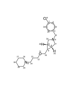 Clc1ccc(CN2C[C@@H]3C(COCCCN4CCCCC4)[C@@H]3C2)cc1